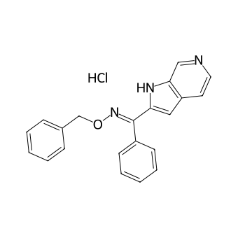 Cl.c1ccc(CO/N=C(\c2ccccc2)c2cc3ccncc3[nH]2)cc1